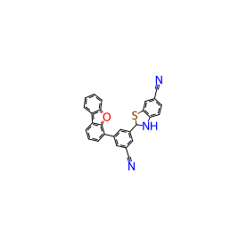 N#Cc1cc(-c2cccc3c2oc2ccccc23)cc(C2Nc3ccc(C#N)cc3S2)c1